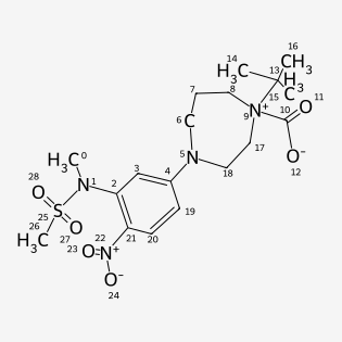 CN(c1cc(N2CCC[N+](C(=O)[O-])(C(C)(C)C)CC2)ccc1[N+](=O)[O-])S(C)(=O)=O